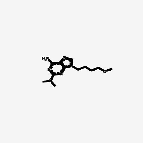 COCCCCn1cnc2c(N)nc(N(C)C)nc21